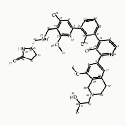 COc1cc(-c2nccc(-c3cccc(-c4cc(Cl)c(CNC[C@@H]5CCC(=O)N5)c(OC)n4)c3Cl)c2Cl)cc2c1CN(C[C@@H](C)O)CC2